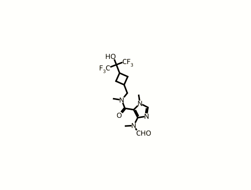 CN(CC1CC(C(O)(C(F)(F)F)C(F)(F)F)C1)C(=O)c1c(N(C)C=O)ncn1C